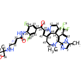 Cc1cnc2c3c(c(C(F)(F)F)cn12)-c1cccn2c(C(=O)c4cc(F)c(NC(=O)/C=C/CNC5(C)COC5)c(F)c4)cc(c12)CCN3C